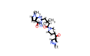 CCn1cc(C(=O)C2CCN(C(=O)CC(C)(C)Cc3nc4c(ccn4C)c(=O)[nH]3)CC2)cn1